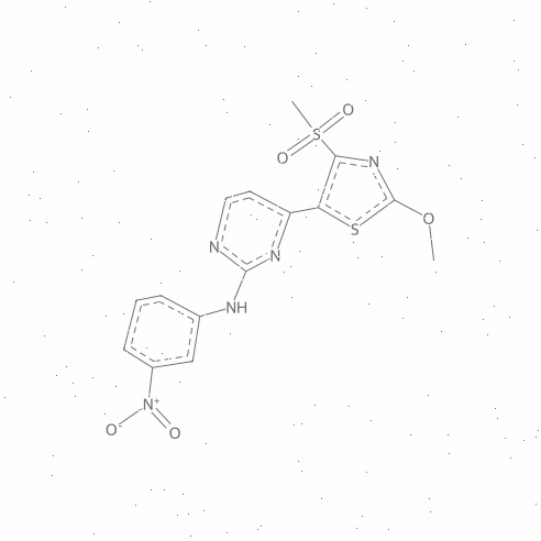 COc1nc(S(C)(=O)=O)c(-c2ccnc(Nc3cccc([N+](=O)[O-])c3)n2)s1